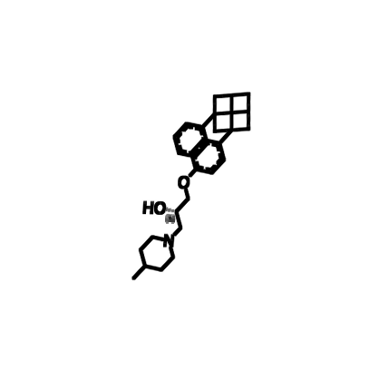 CC1CCN(C[C@H](O)COc2ccc(C34CC5CC6CC(c7ccccc7)(C3)C654)cc2)CC1